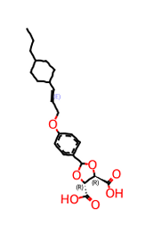 CCCC1CCC(/C=C/COc2ccc(C3O[C@@H](C(=O)O)[C@H](C(=O)O)O3)cc2)CC1